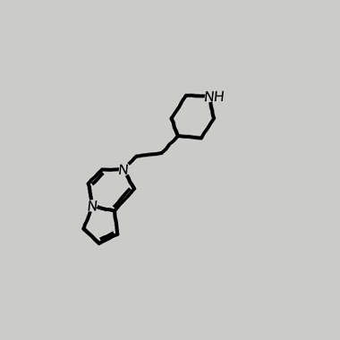 C1=CC2=CN(CCC3CCNCC3)C=CN2C1